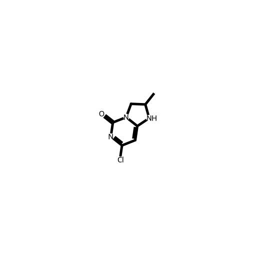 CC1Cn2c(cc(Cl)nc2=O)N1